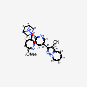 COc1ccc(CN2C3CC2CN(c2ccc(-c4nn5ccccc5c4C#N)cn2)C3)cn1